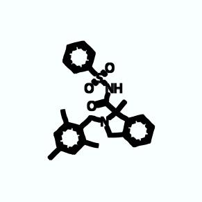 Cc1cc(C)c(CN2Cc3ccccc3C2(C)C(=O)NS(=O)(=O)c2ccccc2)c(C)c1